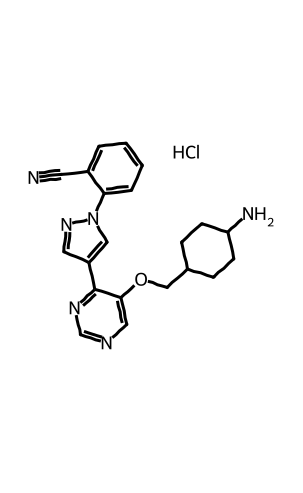 Cl.N#Cc1ccccc1-n1cc(-c2ncncc2OCC2CCC(N)CC2)cn1